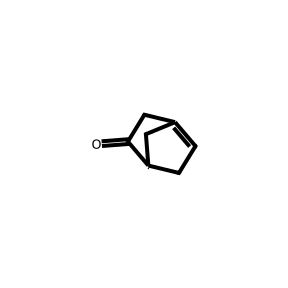 O=C1CC2=CC[C]1C2